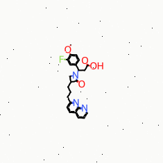 COc1ccc(C(CC(=O)O)N2CC(CCCc3ccc4cccnc4n3)C2=O)cc1F